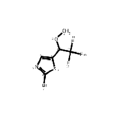 COC(c1cnc(Br)s1)C(F)(F)F